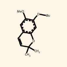 CCC(C)Oc1cc2c(cc1OC)C=CC(C)(C)O2